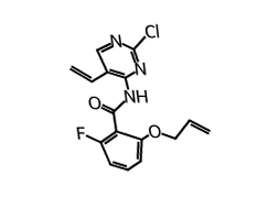 C=CCOc1cccc(F)c1C(=O)Nc1nc(Cl)ncc1C=C